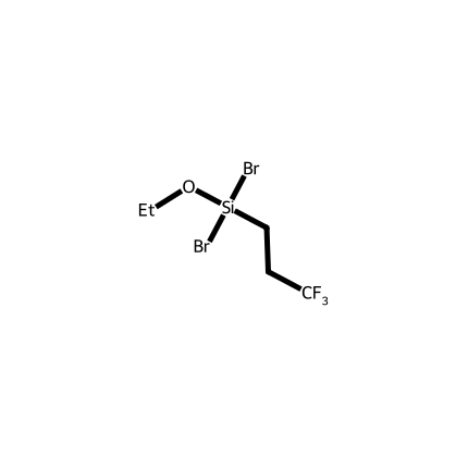 CCO[Si](Br)(Br)CCC(F)(F)F